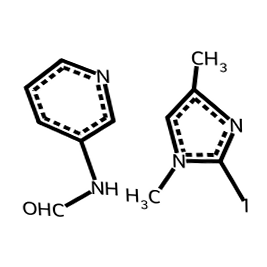 Cc1cn(C)c(I)n1.O=CNc1cccnc1